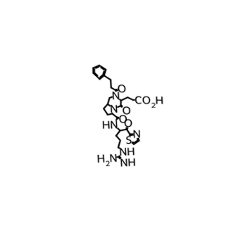 N=C(N)NCCCC(NC(=O)C1CCC2CN(C(=O)CCc3ccccc3)C(CCC(=O)O)C(=O)N21)C(=O)c1nccs1